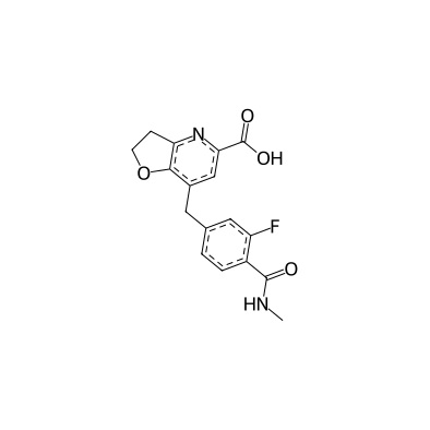 CNC(=O)c1ccc(Cc2cc(C(=O)O)nc3c2OCC3)cc1F